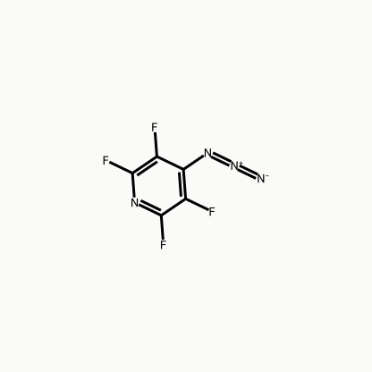 [N-]=[N+]=Nc1c(F)c(F)nc(F)c1F